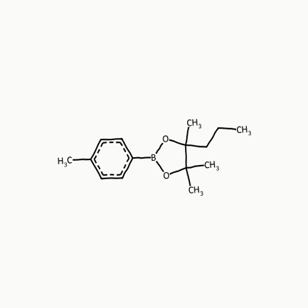 CCCC1(C)OB(c2ccc(C)cc2)OC1(C)C